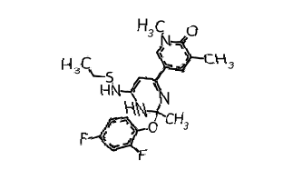 CCSNC1=CC(c2cc(C)c(=O)n(C)c2)=NC(C)(Oc2ccc(F)cc2F)N1